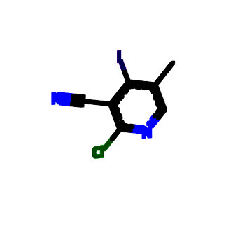 Cc1cnc(Cl)c(C#N)c1I